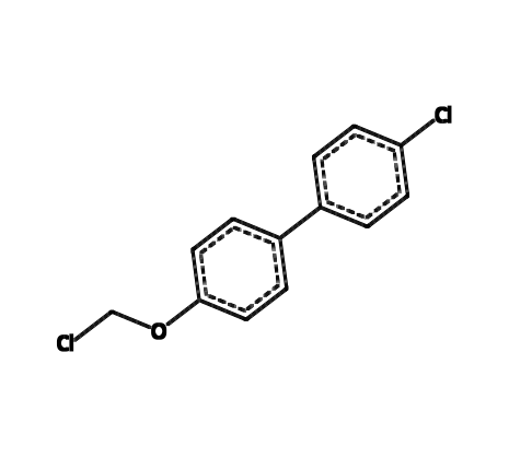 ClCOc1ccc(-c2ccc(Cl)cc2)cc1